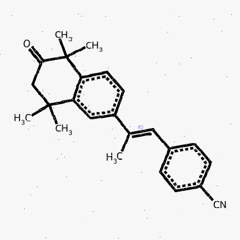 C/C(=C\c1ccc(C#N)cc1)c1ccc2c(c1)C(C)(C)CC(=O)C2(C)C